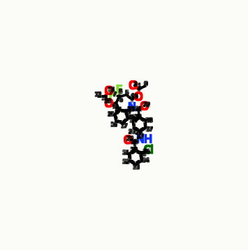 CC(=O)OC1CC(F)(F)C(OC(C)=O)c2ccccc2N1C(=O)c1ccc(NC(=O)c2ccccc2Cl)cc1